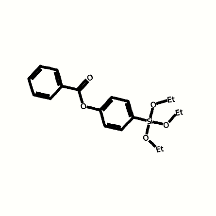 CCO[Si](OCC)(OCC)c1ccc(OC(=O)c2ccccc2)cc1